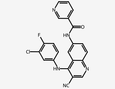 N#Cc1cnc2ccc(NC(=O)c3cccnc3)cc2c1Nc1ccc(F)c(Cl)c1